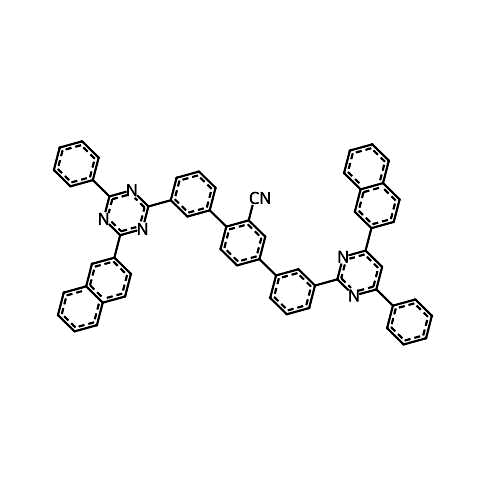 N#Cc1cc(-c2cccc(-c3nc(-c4ccccc4)cc(-c4ccc5ccccc5c4)n3)c2)ccc1-c1cccc(-c2nc(-c3ccccc3)nc(-c3ccc4ccccc4c3)n2)c1